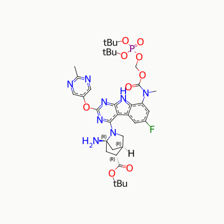 Cc1ncc(Oc2nc(N3C[C@@H]4C[C@]3(N)C[C@H]4C(=O)OC(C)(C)C)c3c(n2)[nH]c2c(N(C)C(=O)OCOP(=O)(OC(C)(C)C)OC(C)(C)C)cc(F)cc23)cn1